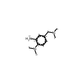 CN(C)Cc1ccc(N(C)C)c(N)c1